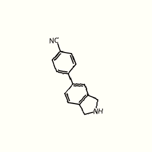 N#Cc1ccc(-c2ccc3c(c2)CNC3)cc1